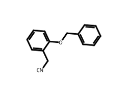 [C-]#[N+]Cc1ccccc1OCc1ccccc1